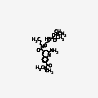 CCCN(OCCNC(=O)OC(C)(C)C)C(=O)C1=Cc2ccc(C(=O)N(C)C)cc2N=C(N)C1